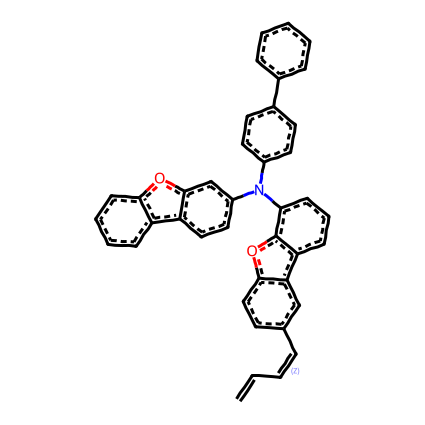 C=C/C=C\c1ccc2oc3c(N(c4ccc(-c5ccccc5)cc4)c4ccc5c(c4)oc4ccccc45)cccc3c2c1